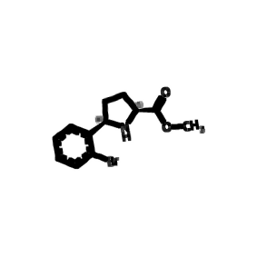 COC(=O)[C@@H]1CC[C@H](c2ccccc2Br)N1